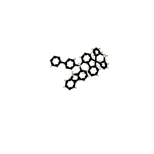 c1ccc(-c2ccc(N(c3cccc4c3-c3ccccc3C43c4ccccc4Oc4ccccc43)c3cccc4c3sc3ccccc34)cc2)cc1